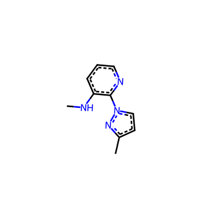 CNc1cccnc1-n1ccc(C)n1